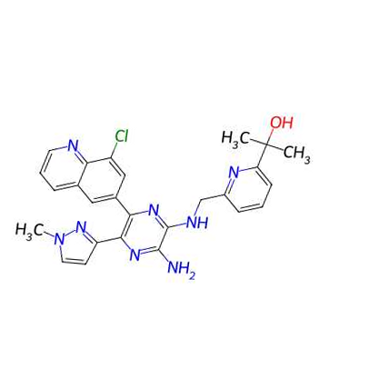 Cn1ccc(-c2nc(N)c(NCc3cccc(C(C)(C)O)n3)nc2-c2cc(Cl)c3ncccc3c2)n1